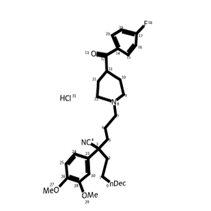 CCCCCCCCCCCCC(C#N)(CCCN1CCC(C(=O)c2ccc(F)cc2)CC1)c1ccc(OC)c(OC)c1.Cl